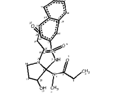 CCC(=O)N(C)C1(NS(=O)(=O)c2ccc3ccccc3c2)C(O)CCN1CCC=O